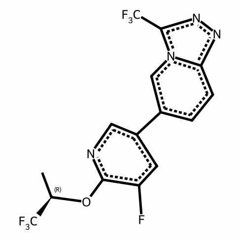 C[C@@H](Oc1ncc(-c2ccc3nnc(C(F)(F)F)n3c2)cc1F)C(F)(F)F